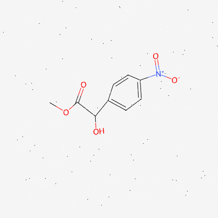 COC(=O)C(O)c1ccc([N+](=O)[O-])cc1